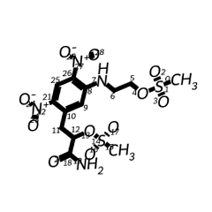 CS(=O)(=O)OCCNc1cc(CC(OS(C)(=O)=O)C(N)=O)c([N+](=O)[O-])cc1[N+](=O)[O-]